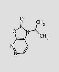 CC(C)n1c(=O)oc2nnccc21